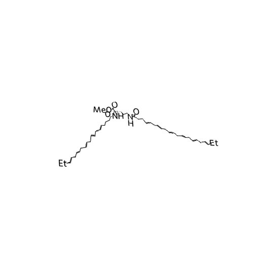 CCC=CCC=CCC=CCC=CCC=CCC=CCCC(=O)NCCC[C@H](NC(=O)CCCC=CCC=CCC=CCC=CCC=CCC)C(=O)OC